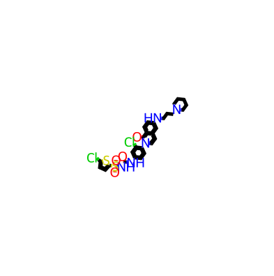 O=C(Nc1ccc(-n2ccc3cc(NCCCN4CCCCC4)ccc3c2=O)c(Cl)c1)NS(=O)(=O)c1ccc(Cl)s1